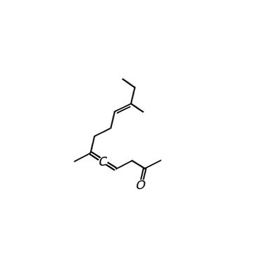 CCC(C)=CCCC(C)=C=CCC(C)=O